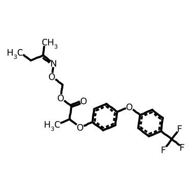 CCC(C)=NOCOC(=O)C(C)Oc1ccc(Oc2ccc(C(F)(F)F)cc2)cc1